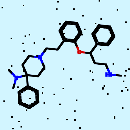 CNCCC(Oc1ccccc1CCN1CCC(c2ccccc2)(N(C)C)CC1)c1ccccc1